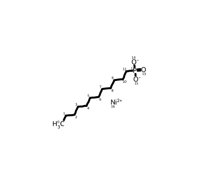 CCCCCCCCCCCCP(=O)([O-])[O-].[Ni+2]